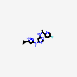 CC(Nc1cc(Nc2cc(C3CC3)[nH]n2)ncn1)c1ccc(F)cn1